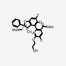 CNC[C@]1(c2ccccc2)Oc2cc(F)c(Cl)c(-c3nc(OCCO)c(F)cc3C(=O)NC)c2[C@@H]1C